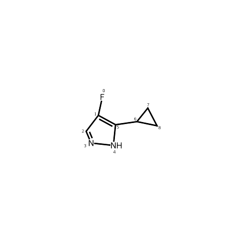 Fc1cn[nH]c1C1CC1